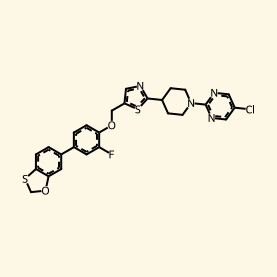 Fc1cc(-c2ccc3c(c2)OCS3)ccc1OCc1cnc(C2CCN(c3ncc(Cl)cn3)CC2)s1